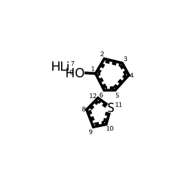 Oc1ccccc1.[LiH].c1ccsc1